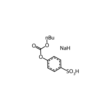 CCCCOC(=O)Oc1ccc(S(=O)(=O)O)cc1.[NaH]